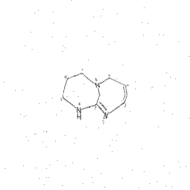 C1=CN=C2NCCCN2C1